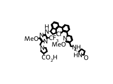 COc1nc(-c2cccc(-c3cccc4c3CC[C@@H]4Nc3nc(OC)c(CN4CC[C@@H](C(=O)O)C4)nc3C(F)(F)F)c2Cl)ccc1CNC[C@@H]1CCC(=O)N1